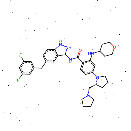 O=C(NC1NNc2ccc(Cc3cc(F)cc(F)c3)cc21)c1ccc(N2CCC[C@H]2CN2CCCC2)cc1NC1CCOCC1